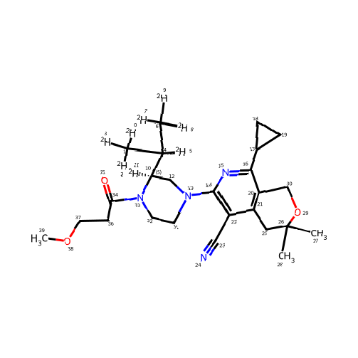 [2H]C([2H])([2H])C([2H])(C([2H])([2H])[2H])[C@@]1([2H])CN(c2nc(C3CC3)c3c(c2C#N)CC(C)(C)OC3)CCN1C(=O)CCOC